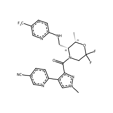 C[C@@H]1OC(F)(F)CN(C(=O)c2nn(C)cc2-c2ccc(C#N)cn2)[C@@H]1CNc1ccc(C(F)(F)F)cn1